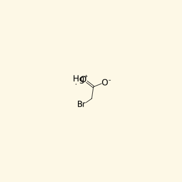 O=C([O-])CBr.[Hg+]